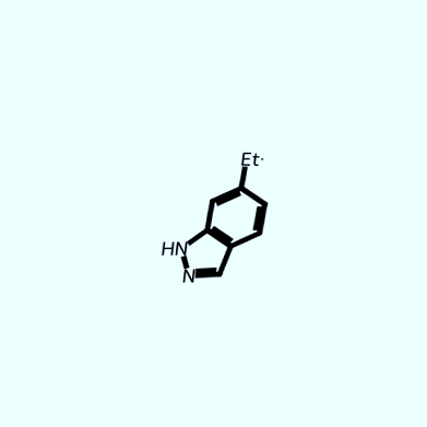 C[CH]c1ccc2cn[nH]c2c1